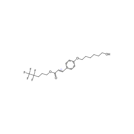 O=C(/C=C/c1ccc(OCCCCCCO)cc1)OCCCC(F)(F)C(F)(F)F